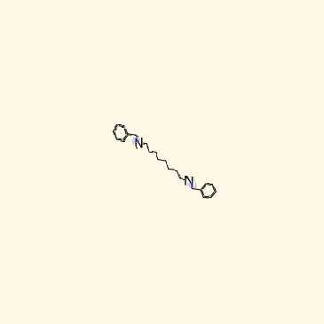 C(=N\CCCCCCCC/N=C/c1ccccc1)/c1ccccc1